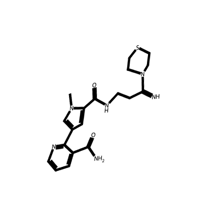 Cn1cc(-c2ncccc2C(N)=O)cc1C(=O)NCCC(=N)N1CCSCC1